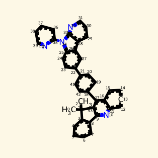 CC1(C)c2ccccc2-c2nc3ccccc3c(-c3ccc(-c4ccc5c(c4)c4cccnc4n5-c4ccccn4)cc3)c21